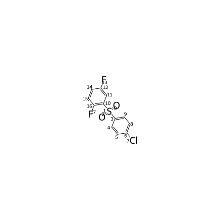 O=S(=O)(c1ccc(Cl)cc1)c1cc(F)c[c]c1F